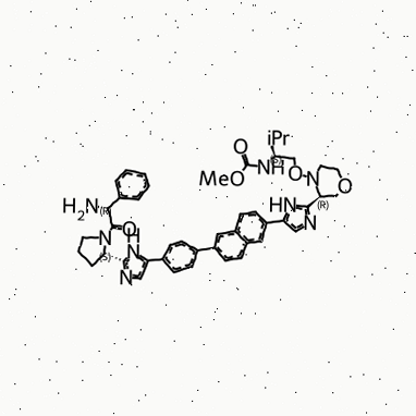 COC(=O)N[C@H](CON1CCOC[C@H]1c1ncc(-c2ccc3cc(-c4ccc(-c5cnc([C@@H]6CCCN6C(=O)[C@H](N)c6ccccc6)[nH]5)cc4)ccc3c2)[nH]1)C(C)C